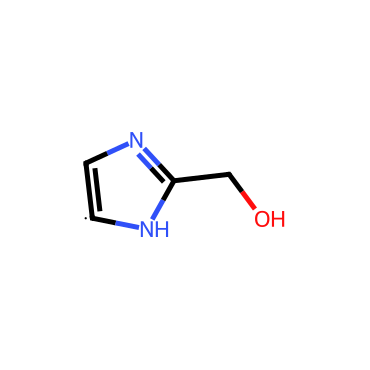 OCc1nc[c][nH]1